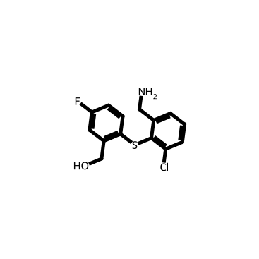 NCc1cccc(Cl)c1Sc1ccc(F)cc1CO